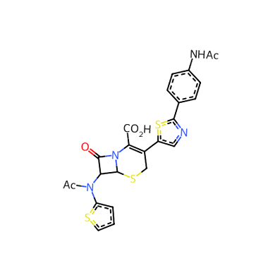 CC(=O)Nc1ccc(-c2ncc(C3=C(C(=O)O)N4C(=O)C(N(C(C)=O)c5cccs5)C4SC3)s2)cc1